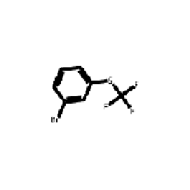 FC(F)(F)Sc1[c]c(Br)ccc1